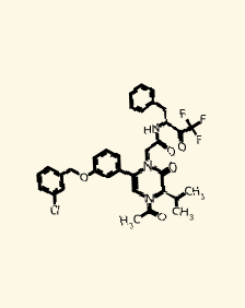 CC(=O)N1C=C(c2cccc(OCc3cccc(Cl)c3)c2)N(CC(=O)N[C@@H](Cc2ccccc2)C(=O)C(F)(F)F)C(=O)[C@H]1C(C)C